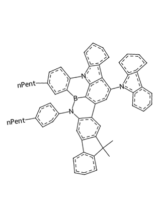 CCCCCc1ccc(N2B3c4cc(CCCCC)ccc4-n4c5ccccc5c5c(-n6c7ccccc7c7ccccc76)cc(c3c54)-c3cc4c(cc32)-c2ccccc2C4(C)C)cc1